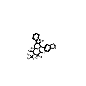 [2H]C([2H])([2H])N1C(=O)[C@@]2([2H])Cc3c([nH]c4ccccc34)C(c3ccc4c(c3)OCO4)N2C(=O)C1([2H])[2H]